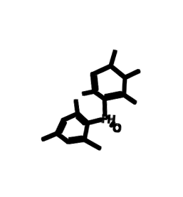 CC1=CC(C)C(C)C(C)=C1[PH](=O)c1c(C)cc(C)cc1C